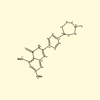 COc1cc(OC)c2c(=O)[nH]c(-c3ccc(N4CCCN(C)CC4)cc3)nc2c1